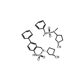 CN(c1ccccc1)S(=O)(=O)N(C)C1CCN(C#N)C1.N#CN1CC[C@@H](N2Cc3cc(-c4ccccc4)ccc3NS2(=O)=O)C1